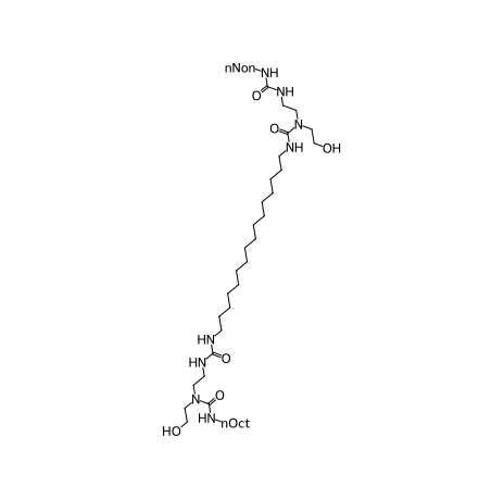 CCCCCCCCCNC(=O)NCCN(CCO)C(=O)NCCCCCCCCCCCCCCCCNC(=O)NCCN(CCO)C(=O)NCCCCCCCC